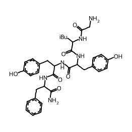 CCC(C)C(NC(=O)CN)C(=O)NC(Cc1ccc(O)cc1)C(=O)NC(Cc1ccc(O)cc1)C(=O)NC(Cc1ccccc1)C(N)=O